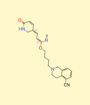 C=N/C(=C\C=C1\C=CC(=O)NC1)OCCCCN1CCc2c(C#N)cccc2C1